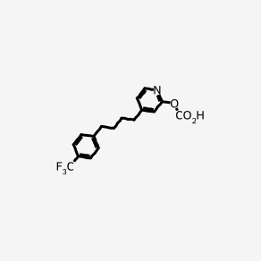 O=C(O)Oc1cc(CCCCc2ccc(C(F)(F)F)cc2)ccn1